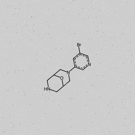 Brc1cncc(N2CC3CNCC(C2)O3)c1